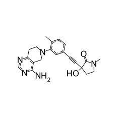 Cc1ccc(C#CC2(O)CCN(C)C2=O)cc1N1CCc2ncnc(N)c2C1